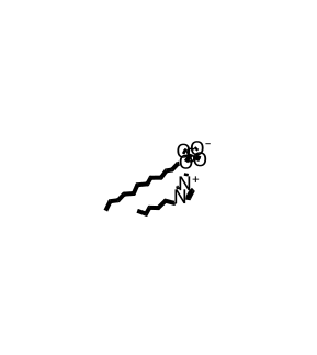 CCCCCCCCCCCCOS(=O)(=O)[O-].CCCCCCn1cc[n+](C)c1